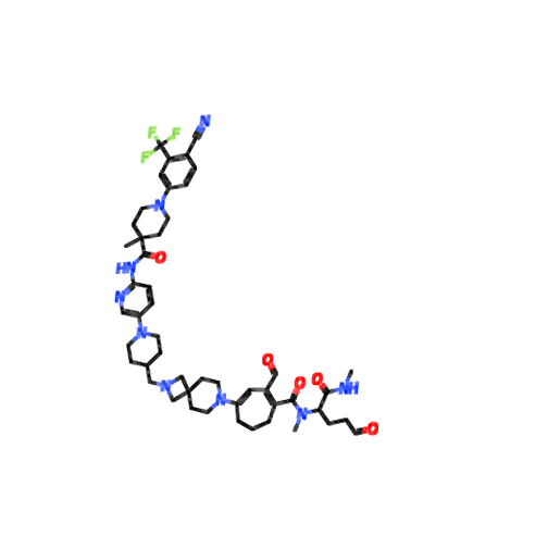 CNC(=O)C(CCC=O)N(C)C(=O)C1=C(C=O)C=C(N2CCC3(CC2)CN(CC2CCN(c4ccc(NC(=O)C5(C)CCN(c6ccc(C#N)c(C(F)(F)F)c6)CC5)nc4)CC2)C3)CCC1